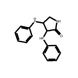 O=C1NCC(Pc2ccccc2)C1Pc1ccccc1